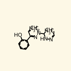 C=C/C(=N\N(C)C(C)N/N=C\C)c1ccccc1O